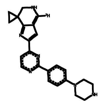 [2H]C1=C2C=C(c3ccnc(-c4ccc(N5CCNCC5)cc4)n3)N=C2C2(CC2)CN1